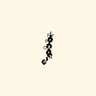 O=c1cc(-c2ccc(C(F)(F)F)cc2F)ccn1-c1ccc2c(cnn2CCN2CCCC2)c1